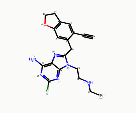 C#Cc1cc2c(cc1Cc1nc3c(N)nc(Cl)nc3n1CCNCC(C)C)OCC2